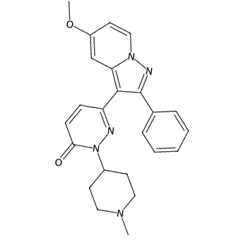 COc1ccn2nc(-c3ccccc3)c(-c3ccc(=O)n(C4CCN(C)CC4)n3)c2c1